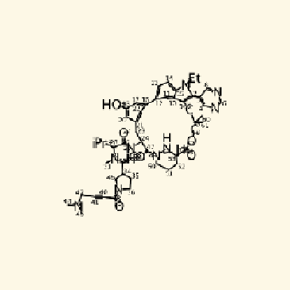 CCn1c(-c2cncnc2)c2c3cc(ccc31)-c1cc(O)cc(c1)C[C@H](NC(=O)C(C(C)C)N(C)C(=O)[C@H]1CCN(C(=O)C#CCN(C)C)C1)C(=O)N1CCC[C@H](N1)C(=O)OCC(C)(C)C2